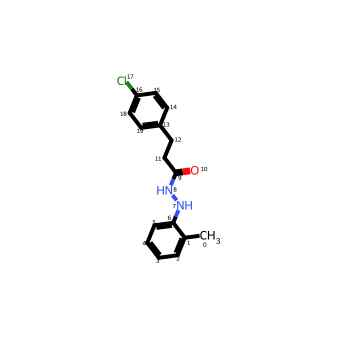 Cc1ccccc1NNC(=O)CCc1ccc(Cl)cc1